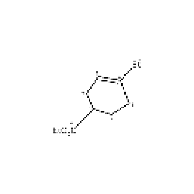 CCOC(=O)C1CC=C(CC)CC1